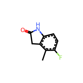 Cc1c(F)ccc2c1CC(=O)N2